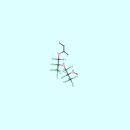 CCC(C)OC(F)(F)C(F)(OC(F)(F)C(F)(OC)C(F)(F)F)C(F)(F)F